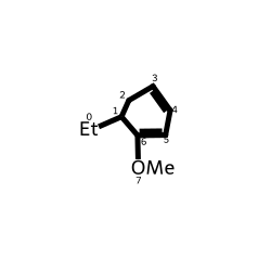 CCC1CC=CC=C1OC